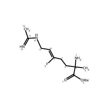 COC(=O)C(C)(N)CCC(F)=CCNC(C)=N